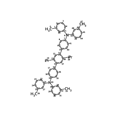 Cc1cccc(N(c2ccc(-c3cc(C(C)C)c(-c4ccc(N(c5cccc(C)c5)c5cccc(C)c5)cc4)cc3C(C)C)cc2)c2cccc(C)c2)c1